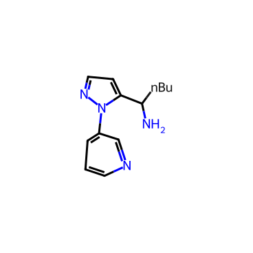 CCCCC(N)c1ccnn1-c1cccnc1